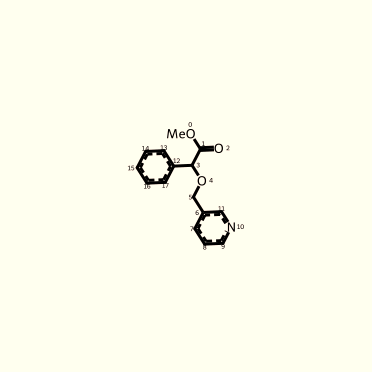 COC(=O)C(OCc1cccnc1)c1ccccc1